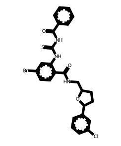 O=C(NC(=S)Nc1cc(Br)ccc1C(=O)NCC1CCC(c2cccc(Cl)c2)O1)c1ccccc1